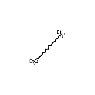 CC[N+](C)(C)CCCCCCCCCCCCCCC[N+](C)(C)CC